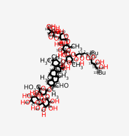 CC[C@H](C)[C@H](C[C@H](O)CC(=O)O[C@]1(O)CC(C)O[C@@H](OC(=O)[C@]23CCC(C)(C)CC2C2=CCC4[C@@]5(C)CCC(O[C@@H]6OC(C(=O)O)[C@@H](O)C(O[C@@H]7OC[C@@H](O)C(O)C7O)C6O[C@@H]6OC(CO)[C@H](O)C(O)C6O)[C@@](C)(C=O)C5CC[C@@]4(C)[C@]2(C)C[C@H]3O)C1O[C@@H]1OC(C)[C@H](O[C@H]2OCC(O)[C@H](O[C@@H]3OCC(O)(CO)C3O)C2O)C(O)C1O)OC(=O)C[C@@H](O)C[C@H](O)[C@@H](C)CC